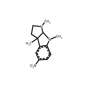 CN1CCC2(C)c3cc([N+](=O)[O-])ccc3N(C)C12